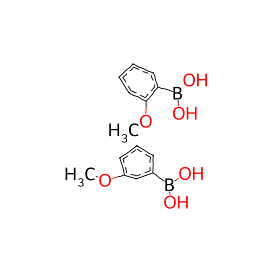 COc1cccc(B(O)O)c1.COc1ccccc1B(O)O